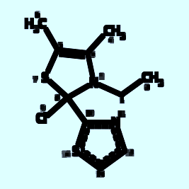 CCN1C(C)=C(C)SC1(Cl)c1nccs1